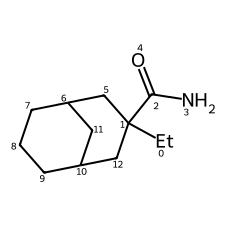 CCC1(C(N)=O)CC2CCCC(C2)C1